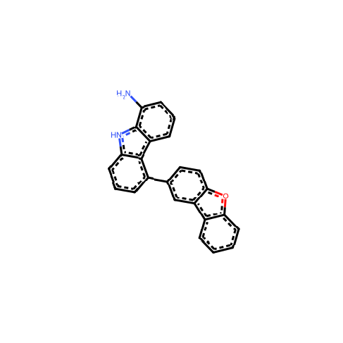 Nc1cccc2c1[nH]c1cccc(-c3ccc4oc5ccccc5c4c3)c12